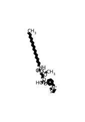 CCCCCCCCCCCCCCCCCCNC(=O)OCC(COP(O)Oc1cccc(C[n+]2ccsc2)c1)OC(C)C